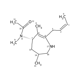 C/C=C\CC1=C(C)[C@@H](N(C)C(C)=O)CC(C)CN1